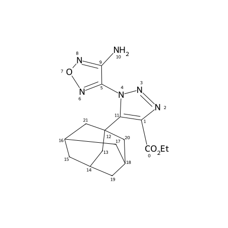 CCOC(=O)c1nnn(-c2nonc2N)c1C12CC3CC(CC(C3)C1)C2